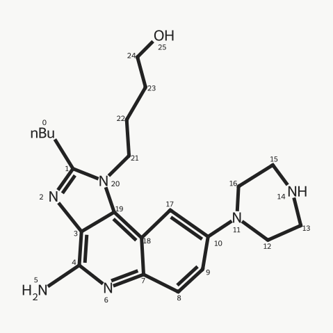 CCCCc1nc2c(N)nc3ccc(N4CCNCC4)cc3c2n1CCCCO